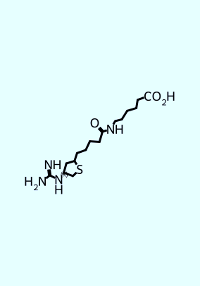 N=C(N)N[C@H]1CSC(CCCCC(=O)NCCCCCC(=O)O)C1